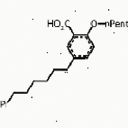 CCCCCOc1ccc(CCCCCCC(C)C)cc1C(=O)O